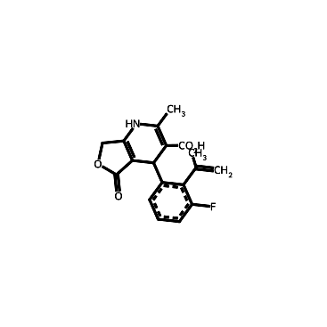 C=C(C)c1c(F)cccc1C1C(C(=O)O)=C(C)NC2=C1C(=O)OC2